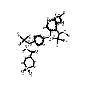 COC(c1c(Nc2ccc([C@H](N(C)C(=O)C3CCS(=O)(=O)CC3)C(F)(F)F)cc2)cnc2sc(C)nc12)C(F)(F)F